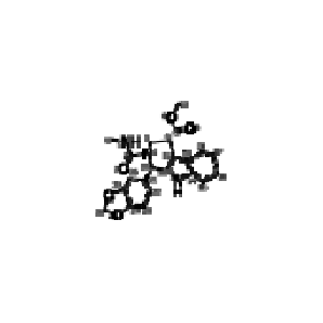 CNC(=O)N1C[C@H](C(=O)OC)c2c([nH]c3ccccc23)[C@H]1c1ccc2c(c1)OCO2